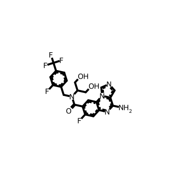 Nc1nc2cc(F)c(C(=O)N(Cc3ccc(C(F)(F)F)cc3F)C(CO)CO)cc2n2cncc12